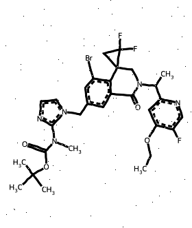 CCOc1cc(C(C)N2CC3(CC3(F)F)c3c(Br)cc(Cn4ccnc4N(C)C(=O)OC(C)(C)C)cc3C2=O)ncc1F